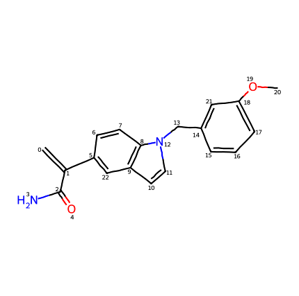 C=C(C(N)=O)c1ccc2c(ccn2Cc2cccc(OC)c2)c1